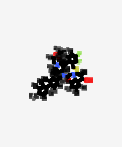 [2H]C1=C(SCc2c([2H])c([2H])c([2H])c(F)c2F)N(CC(=O)N(C([2H])([2H])c2c([2H])c([2H])c(-c3c([2H])c([2H])c(C(F)(F)F)c([2H])c3[2H])c([2H])c2C)C2([2H])C([2H])([2H])C([2H])([2H])N(CC([2H])([2H])OC([2H])([2H])[2H])C([2H])([2H])C2([2H])[2H])c2c([2H])c([2H])c([2H])c([2H])c2C1O